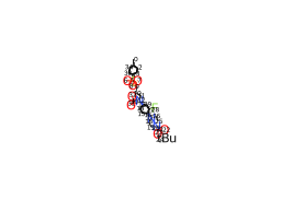 Cc1ccc(S(=O)(=O)OC[C@H]2CN(c3ccc(N4CCN(C(=O)OC(C)(C)C)CC4)c(F)c3)C(=O)O2)cc1